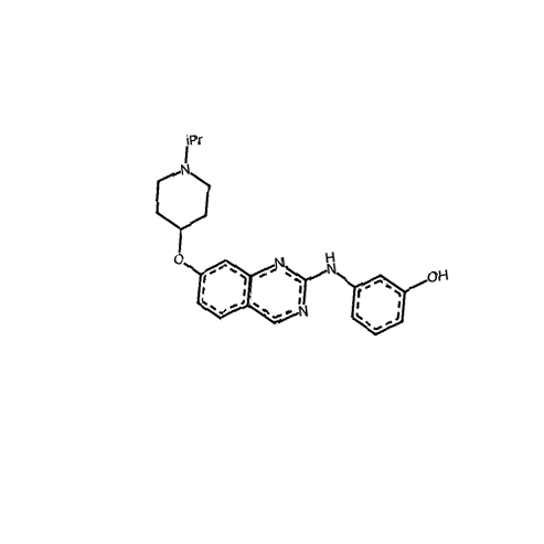 CC(C)N1CCC(Oc2ccc3cnc(Nc4cccc(O)c4)nc3c2)CC1